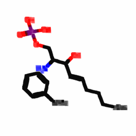 CC(=O)Nc1ccccc1.CCCCCCCCCCCCCC=CC(O)C(N)COP(=O)(O)O